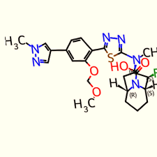 COCOc1cc(-c2cnn(C)c2)ccc1-c1nnc(N(C)[C@@H]2C[C@H]3CCC[C@@H]([C@@H]2F)N3C(=O)O)s1